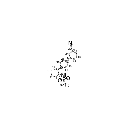 CC(C)S(=O)(=O)NC1CCCC=C1c1ccc(-c2cccc(C#N)c2)cc1